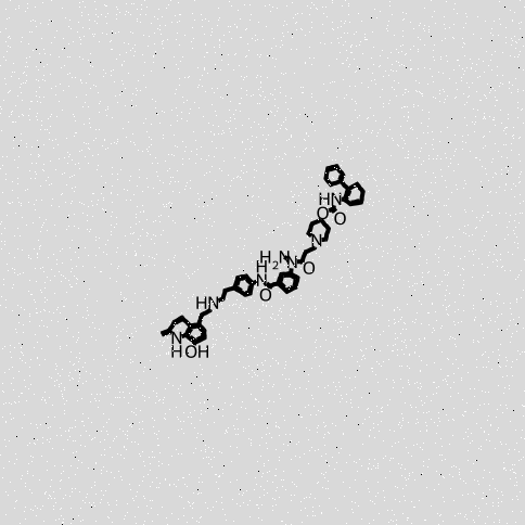 C=C1C=Cc2c(CCNCCc3ccc(NC(=O)c4cccc(N(N)C(=O)CCN5CCC(OC(=O)NC6=C(C7=CC=CCC7)CCC=C6)CC5)c4)cc3)ccc(O)c2N1